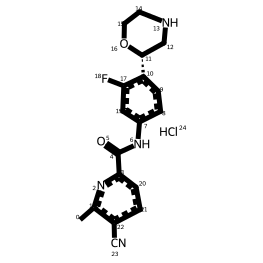 Cc1nc(C(=O)Nc2ccc([C@H]3CNCCO3)c(F)c2)ccc1C#N.Cl